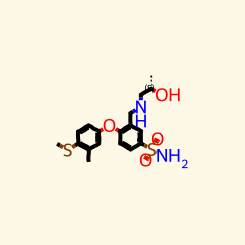 CSc1ccc(Oc2ccc(S(N)(=O)=O)cc2CNC[C@H](C)O)cc1C